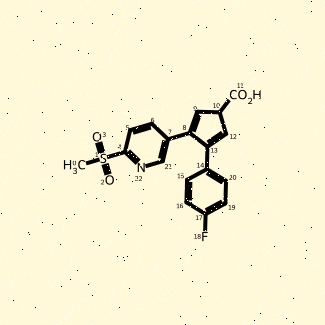 CS(=O)(=O)c1ccc(C2=CC(C(=O)O)C=C2c2ccc(F)cc2)cn1